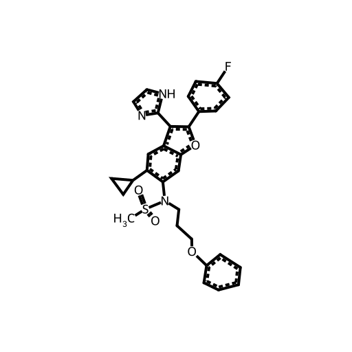 CS(=O)(=O)N(CCCOc1ccccc1)c1cc2oc(-c3ccc(F)cc3)c(-c3ncc[nH]3)c2cc1C1CC1